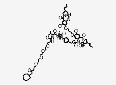 C/C=C/C1=CN2C(=O)c3cc(OC)c(OCCCOc4cc5c(cc4OC)C(=O)N4C=C(/C=C/C)C[C@H]4[C@H](O)N5C(=O)OCc4ccc(NC(=O)[C@H](C)NC(=O)[C@@H](NC(=O)CCOCCOCCOCCOCCCC(=O)CC5CCCCCCC5)C(C)C)cc4)cc3N=C[C@@H]2C1